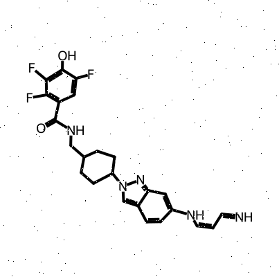 N=C/C=C\Nc1ccc2cn(C3CCC(CNC(=O)c4cc(F)c(O)c(F)c4F)CC3)nc2c1